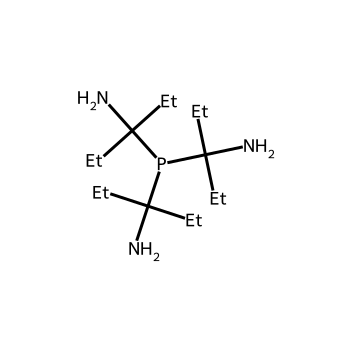 CCC(N)(CC)P(C(N)(CC)CC)C(N)(CC)CC